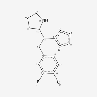 Fc1cc(CC(c2ccco2)C2CCCN2)ccc1Cl